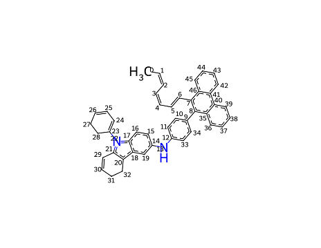 C\C=C/C=C\C=C\c1c(-c2ccc(Nc3ccc4c(c3)c3c(n4C4=CC=CCC4)C=CCC3)cc2)c2ccccc2c2ccccc12